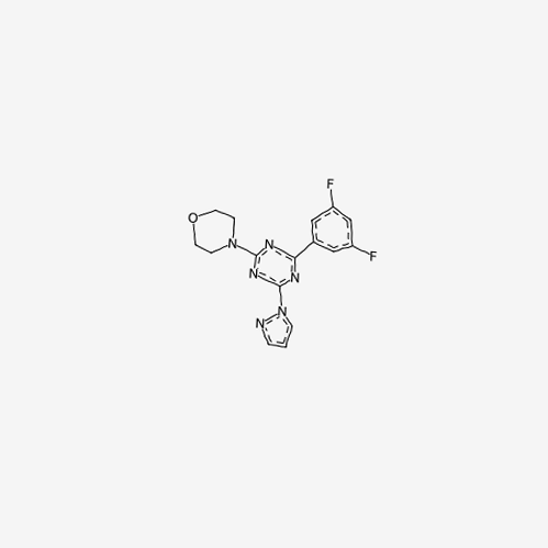 Fc1cc(F)cc(-c2nc(N3CCOCC3)nc(-n3cccn3)n2)c1